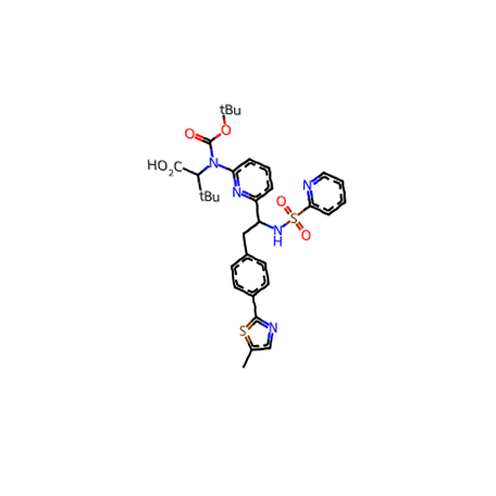 Cc1cnc(-c2ccc(CC(NS(=O)(=O)c3ccccn3)c3cccc(N(C(=O)OC(C)(C)C)C(C(=O)O)C(C)(C)C)n3)cc2)s1